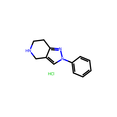 Cl.c1ccc(-n2cc3c(n2)CCNC3)cc1